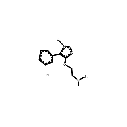 CCN(CC)CCOc1no[n+]([O-])c1-c1ccccc1.Cl